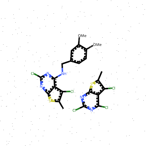 COc1ccc(CNc2nc(Cl)nc3sc(C)c(Cl)c23)cc1OC.Cc1sc2nc(Cl)nc(Cl)c2c1Cl